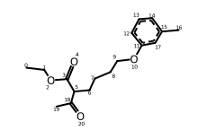 CCOC(=O)C(CCCCOc1cccc(C)c1)C(C)=O